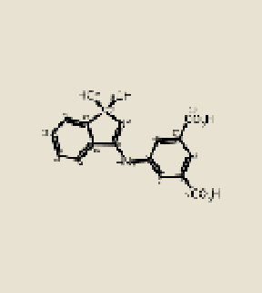 O=C(O)c1cc(NC2=NS(O)(O)c3ccccc32)cc(C(=O)O)c1